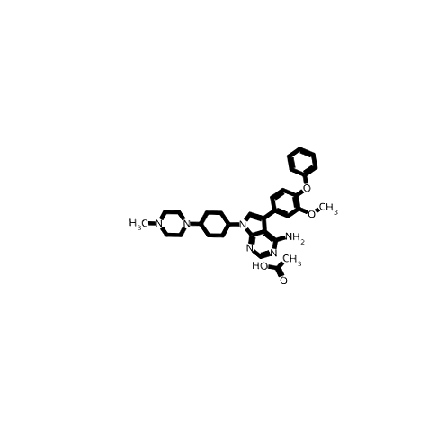 CC(=O)O.COc1cc(-c2cn(C3CCC(N4CCN(C)CC4)CC3)c3ncnc(N)c23)ccc1Oc1ccccc1